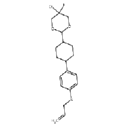 C=CCSc1ccc(C2CCC(C3OCC(F)(CC)CO3)CC2)cc1